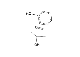 C=O.CC(C)O.Oc1ccccc1